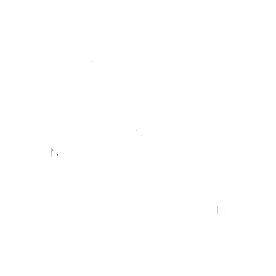 OCCC#Cc1sc(-c2ccc(F)cc2)c(-c2ccncc2)c1-c1ccccc1